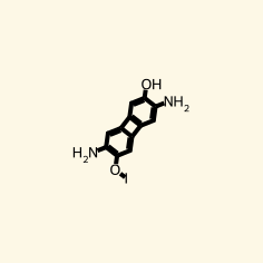 Nc1cc2c(cc1O)-c1cc(N)c(OI)cc1-2